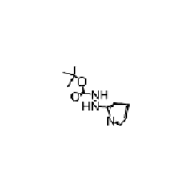 CC(C)(C)OC(=O)NNc1ccccn1